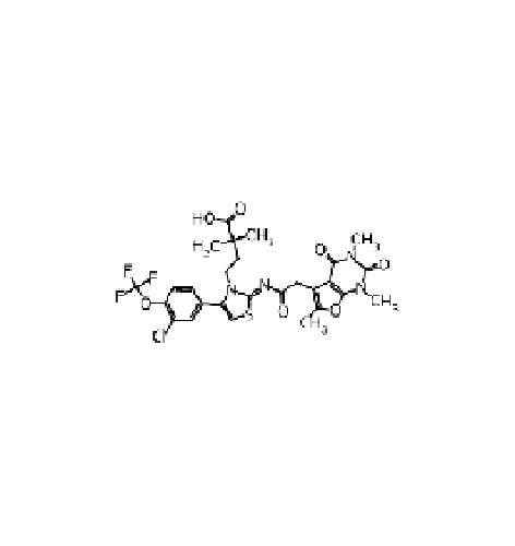 Cc1oc2c(c1CC(=O)N=c1scc(-c3ccc(OC(F)(F)F)c(Cl)c3)n1CCC(C)(C)C(=O)O)c(=O)n(C)c(=O)n2C